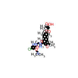 CC(C)C1=C2[C@H]3CC[C@@H]4[C@@]5(C)CC[C@H](OC(=O)[C@H]6C[C@@H](C(=O)O)C6(C)C)C(C)(C)[C@@H]5CC[C@@]4(C)[C@]3(C)CC[C@@]2(CC(=O)NCC(C)(C)NC(=O)c2ccc(Cl)cc2OCCN(C)C)CC1=O